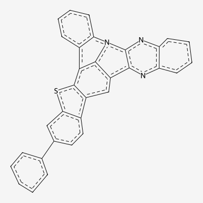 c1ccc(-c2ccc3c(c2)sc2c3cc3c4nc5ccccc5nc4n4c5ccccc5c2c34)cc1